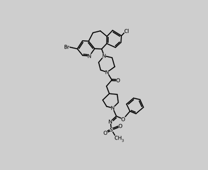 CS(=O)(=O)N=C(Oc1ccccc1)N1CCC(CC(=O)N2CCN(C3c4ccc(Cl)cc4CCc4cc(Br)cnc43)CC2)CC1